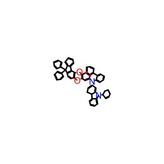 C1=CC(N2C3=CC(N(c4ccc5c(c4)Oc4ccc6c(c4O5)-c4ccccc4C6(c4ccccc4)c4ccccc4)c4ccccc4-c4ccccc4)=CCC3c3ccccc32)CCC1